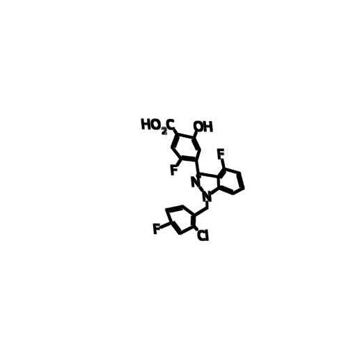 O=C(O)c1cc(F)c(-c2nn(Cc3ccc(F)cc3Cl)c3cccc(F)c23)cc1O